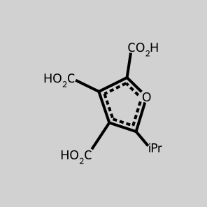 CC(C)c1oc(C(=O)O)c(C(=O)O)c1C(=O)O